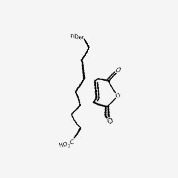 CCCCCCCCCCCCCCCCCC(=O)O.O=C1C=CC(=O)O1